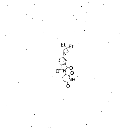 CCC1(CC)CN(c2ccc3c(c2)C(=O)N(C2CCC(=O)NC2=O)C3=O)C1